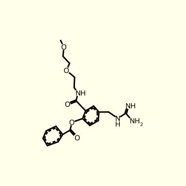 COCCOCCNC(=O)c1cc(CNC(=N)N)ccc1OC(=O)c1ccccc1